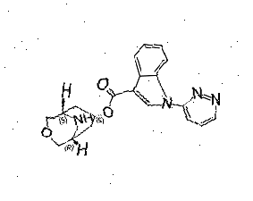 O=C(O[C@H]1C[C@H]2COC[C@@H](C1)N2)c1cn(-c2cccnn2)c2ccccc12